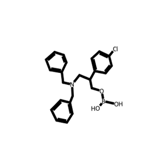 OB(O)OCC(CN(Cc1ccccc1)Cc1ccccc1)c1ccc(Cl)cc1